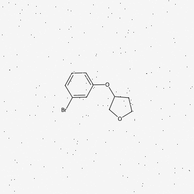 Brc1cccc(OC2CCOC2)c1